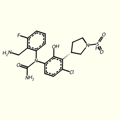 NCc1c(F)cccc1N(C(N)=O)c1ccc(Cl)c([C@@H]2CCN([SH](=O)=O)C2)c1O